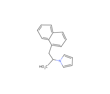 O=C(O)C(Cc1cccc2ccccc12)n1cccc1